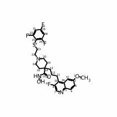 COc1ccc2ncc(F)c(CCCC3(C(=O)NO)CCN(CCSc4c(F)cc(F)cc4F)CC3)c2c1